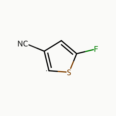 N#Cc1[c]sc(F)c1